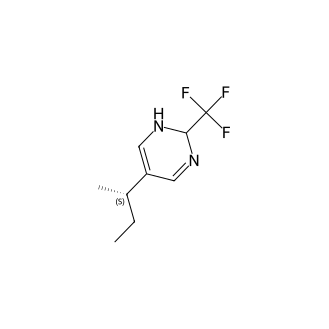 CC[C@H](C)C1=CNC(C(F)(F)F)N=C1